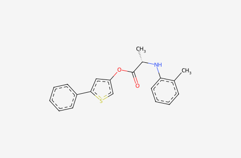 Cc1ccccc1N[C@@H](C)C(=O)Oc1csc(-c2ccccc2)c1